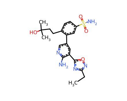 CCc1noc(-c2cc(-c3cc(S(N)(=O)=O)ccc3CCC(C)(C)O)cnc2N)n1